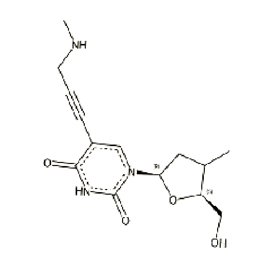 CNCC#Cc1cn([C@H]2CC(C)[C@@H](CO)O2)c(=O)[nH]c1=O